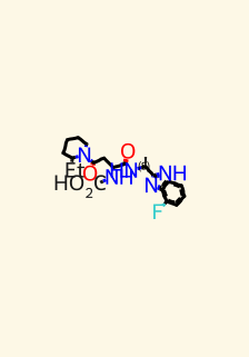 CCC1CCCCN1C(=O)CC(NC(=O)O)C(=O)N[C@@H](C)c1nc2c(F)cccc2[nH]1